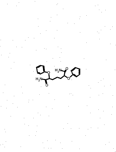 NC(=O)C(CCCC(Oc1ccccc1)C(N)=O)Oc1ccccc1